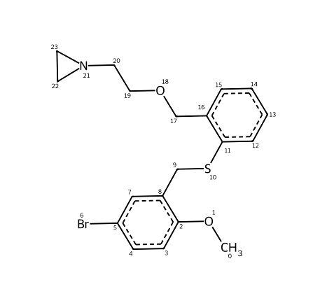 COc1ccc(Br)cc1CSc1ccccc1COCCN1CC1